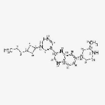 CCCC1CC(N/C=C(\C=N)c2cnc3ccc(N4CCNC(C)C4)cc3n2)C1